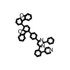 c1ccc(-c2nc(-c3ccc(-c4ccc(-c5cccc6oc7ccccc7c56)c5oc6ccccc6c45)cc3)cc(-c3ccccc3-c3ccncc3)n2)cc1